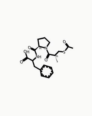 CC(=O)SC[C@H](C)C(=O)N1CCC[C@@H]1C(=O)NC(Cc1ccccc1)C(=O)O